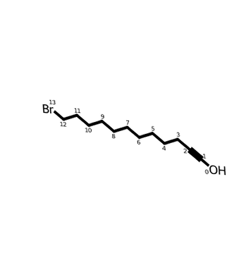 OC#CCCCCCCCCCCBr